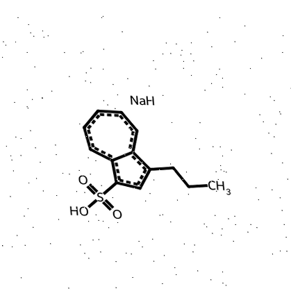 CCCc1cc(S(=O)(=O)O)c2cccccc1-2.[NaH]